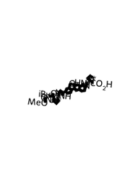 CCC(C)[C@H](NC(=O)OC)C(=O)N1[C@@H](C)CC[C@H]1c1ncc(-c2ccc3c(c2)COc2cc4c(ccc5nc([C@@H]6CC[C@H](C)N6C(=O)O)[nH]c54)cc2-3)[nH]1